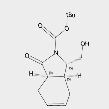 CC(C)(C)OC(=O)N1C(=O)[C@@H]2CC=CC[C@@H]2[C@H]1CO